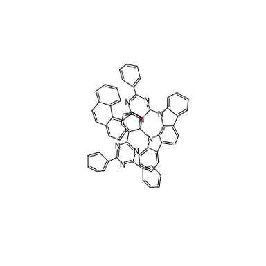 c1ccc(-c2nc(-c3ccccc3)nc(-c3ccccc3-n3c4ccccc4c4ccc5c6ccccc6n(-c6nc(-c7ccccc7)nc(-c7cccc8ccc9ccccc9c78)n6)c5c43)n2)cc1